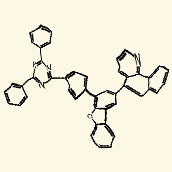 c1ccc(-c2nc(-c3ccccc3)nc(-c3ccc(-c4cc(-c5cc6ccccc6c6ncccc56)cc5c4oc4ccccc45)cc3)n2)cc1